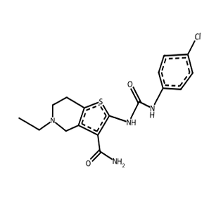 CCN1CCc2sc(NC(=O)Nc3ccc(Cl)cc3)c(C(N)=O)c2C1